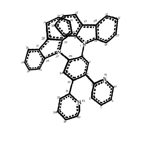 c1ccc(-c2cc(-n3c4ccccc4c4ccccc43)c(-n3c4ccccc4c4ccccc43)cc2-c2ccccn2)nc1